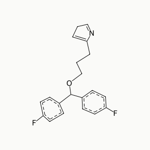 Fc1ccc(C(OCCCC2=CCC=N2)c2ccc(F)cc2)cc1